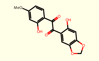 COc1ccc(C(=O)C(=O)c2cc3c(cc2O)OCO3)c(O)c1